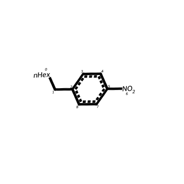 CCCCCCCc1ccc([N+](=O)[O-])cc1